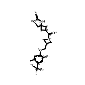 Cc1cc(OCC2CN(C(=O)C3CC4(COC(=O)N4)C3)C2)c(F)cc1C(F)(F)F